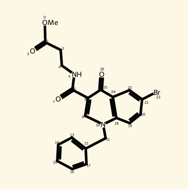 COC(=O)CCNC(=O)c1cn(Cc2ccccc2)c2ccc(Br)cc2c1=O